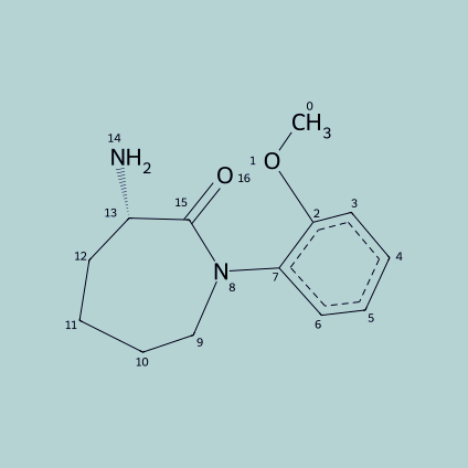 COc1ccccc1N1CCCC[C@H](N)C1=O